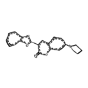 O=c1oc2cc(N3CCC3)ccc2cc1-c1nc2ccccc2o1